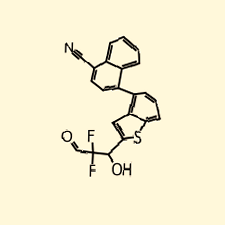 N#Cc1ccc(-c2cccc3sc(C(O)C(F)(F)C=O)cc23)c2ccccc12